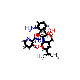 CC(C)c1ccc2c(c1)COC1(O)c3cccc(N)c3C(=O)C21NC(=O)c1ncccc1O